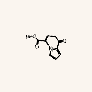 COC(=O)C1CCC(=O)c2cccn21